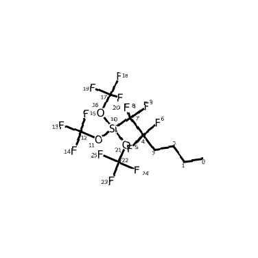 CCCCC(F)(F)C(F)(F)[Si](OC(F)(F)F)(OC(F)(F)F)OC(F)(F)F